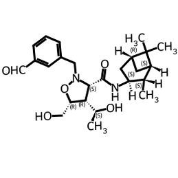 C[C@@H]1[C@@H](NC(=O)[C@@H]2[C@H]([C@H](C)O)[C@H](CO)ON2Cc2cccc(C=O)c2)C[C@H]2C[C@@H]1C2(C)C